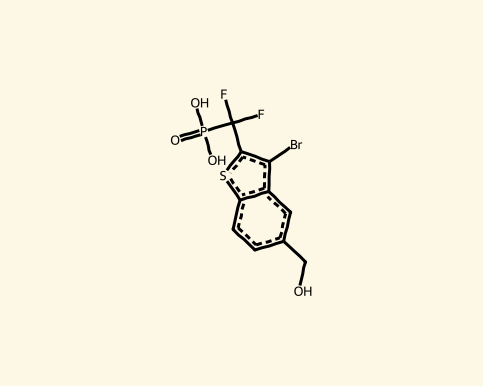 O=P(O)(O)C(F)(F)c1sc2ccc(CO)cc2c1Br